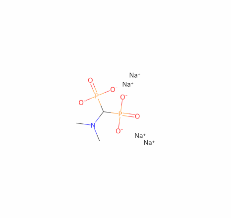 CN(C)C(P(=O)([O-])[O-])P(=O)([O-])[O-].[Na+].[Na+].[Na+].[Na+]